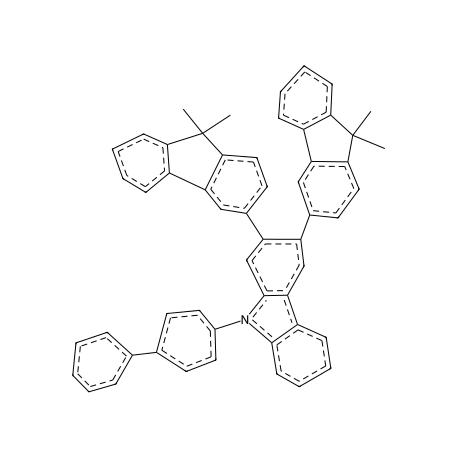 CC1(C)c2ccccc2-c2cc(-c3cc4c5ccccc5n(-c5ccc(-c6ccccc6)cc5)c4cc3-c3ccc4c(c3)-c3ccccc3C4(C)C)ccc21